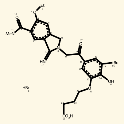 Br.CCOc1cc2c(cc1C(=O)NC)C(=N)N(CC(=O)c1cc(OCCCC(=O)O)c(O)c(C(C)(C)C)c1)C2